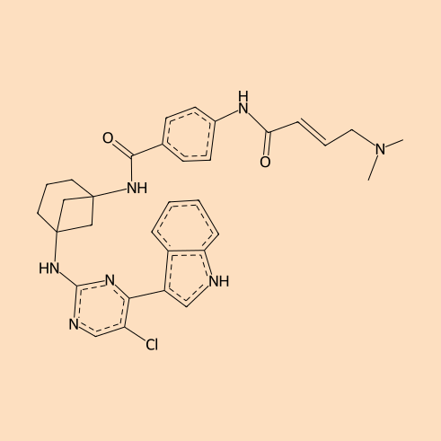 CN(C)CC=CC(=O)Nc1ccc(C(=O)NC23CCCC(Nc4ncc(Cl)c(-c5c[nH]c6ccccc56)n4)(C2)C3)cc1